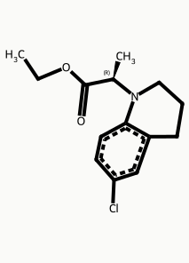 CCOC(=O)[C@@H](C)N1CCCc2cc(Cl)ccc21